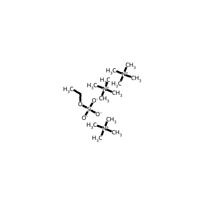 CCO[Si]([O-])([O-])[O-].C[N+](C)(C)C.C[N+](C)(C)C.C[N+](C)(C)C